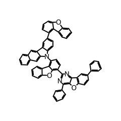 c1ccc(-c2ccc3oc4c(-c5ccccc5)nc(-c5ccc(-n6c7ccc(-c8cccc9oc%10ccccc%10c89)cc7c7cc8ccccc8cc76)c6c5oc5ccccc56)nc4c3c2)cc1